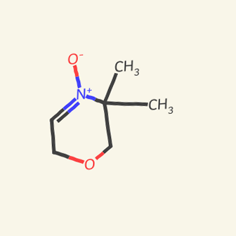 CC1(C)COCC=[N+]1[O-]